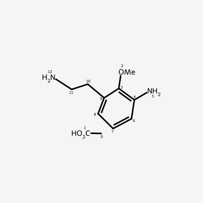 CC(=O)O.COc1c(N)cccc1CCN